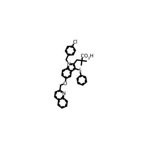 CC(C)(Cc1c(Sc2ccccc2)c2cc(OCc3ccc4ccccc4n3)ccc2n1Cc1ccc(Cl)cc1)C(=O)O